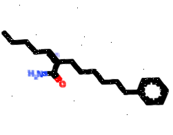 CCCC/C=C(/CCCCCCc1ccccc1)C(N)=O